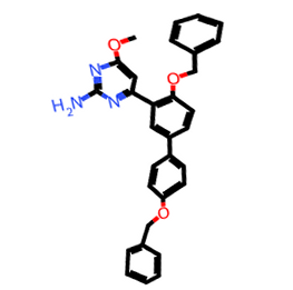 COc1cc(-c2cc(-c3ccc(OCc4ccccc4)cc3)ccc2OCc2ccccc2)nc(N)n1